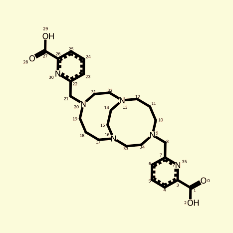 O=C(O)c1cccc(CN2CCCN3CCN(CCCN(Cc4cccc(C(=O)O)n4)CC3)CC2)n1